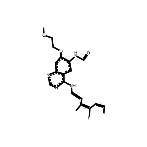 C\C=C/C(F)=C(C)\C=C\Nc1ncnc2cc(OCCOC)c(NC=O)cc12